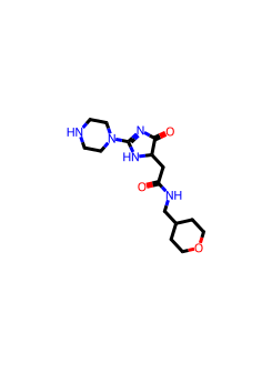 O=C(CC1NC(N2CCNCC2)=NC1=O)NCC1CCOCC1